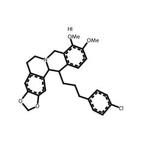 COc1ccc2c(c1OC)CN1CCc3cc4c(cc3C1C2CCCc1ccc(Cl)cc1)OCO4.I